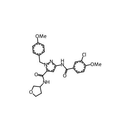 COc1ccc(Cn2nc(NC(=O)c3ccc(OC)c(Cl)c3)cc2C(=O)NC2CCOC2)cc1